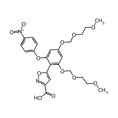 COCCOCOc1cc(OCOCCOC)c(-c2cc(C(=O)O)no2)c(Oc2ccc([N+](=O)[O-])cc2)c1